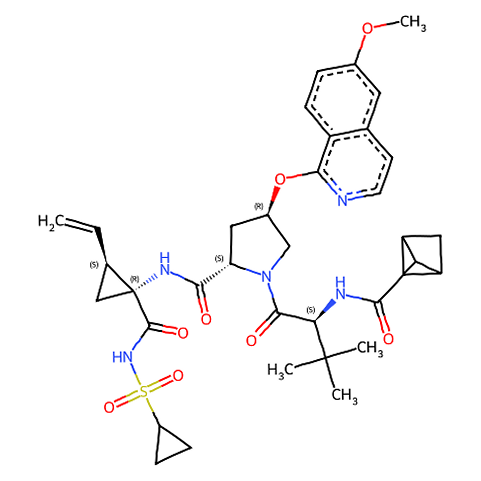 C=C[C@@H]1C[C@]1(NC(=O)[C@@H]1C[C@@H](Oc2nccc3cc(OC)ccc23)CN1C(=O)[C@@H](NC(=O)C1C2CC1C2)C(C)(C)C)C(=O)NS(=O)(=O)C1CC1